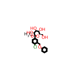 CO[C@@]1(c2ccc(Cl)c(COc3ccccc3)c2)O[C@H](CO)[C@@H](O)[C@H](O)[C@H]1O